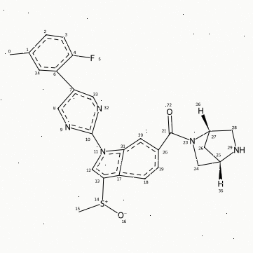 Cc1ccc(F)c(-c2cnc(-n3cc([S+](C)[O-])c4ccc(C(=O)N5C[C@@H]6C[C@H]5CN6)cc43)nc2)c1